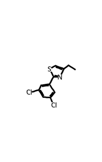 CCc1csc(-c2cc(Cl)cc(Cl)c2)n1